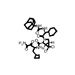 NC(=O)C(=O)C(CC1CCC1)NC(=O)[C@@H]1[C@@H]2[C@H](CN1C(=O)[C@@H](NC(=O)NC13CC4CC(CC(C4)C1)C3)C1CCCCC1)C2(Cl)Cl